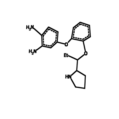 CCC(Oc1ccccc1Oc1ccc(N)c(N)c1)C1CCCN1